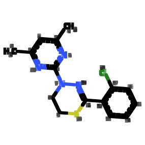 Cc1cc(C)nc(N2CCSC(c3ccccc3Cl)=N2)n1